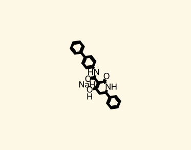 O=C(Nc1ccc(-c2ccccc2)cc1)C1=C(O)CC(c2ccccc2)NC1=O.[NaH]